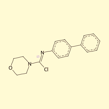 Cl/C(=N\c1ccc(-c2ccccc2)cc1)N1CCOCC1